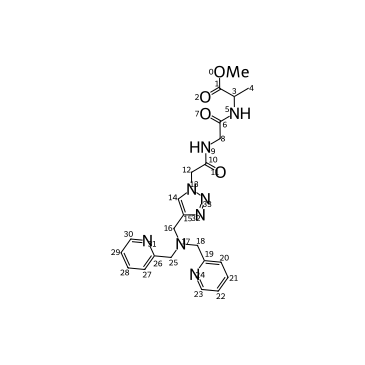 COC(=O)C(C)NC(=O)CNC(=O)Cn1cc(CN(Cc2ccccn2)Cc2ccccn2)nn1